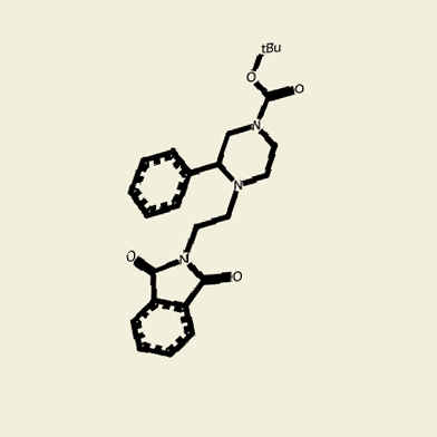 CC(C)(C)OC(=O)N1CCN(CCN2C(=O)c3ccccc3C2=O)C(c2ccccc2)C1